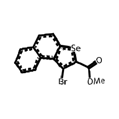 COC(=O)c1[se]c2ccc3ccccc3c2c1Br